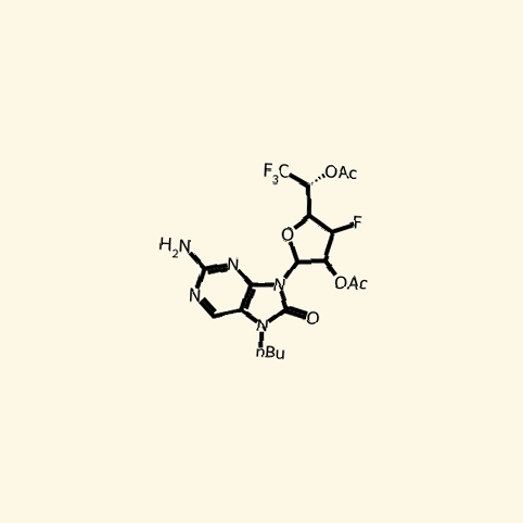 CCCCn1c(=O)n(C2OC([C@@H](OC(C)=O)C(F)(F)F)C(F)C2OC(C)=O)c2nc(N)ncc21